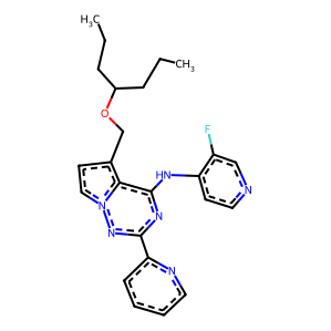 CCCC(CCC)OCc1ccn2nc(-c3ccccn3)nc(Nc3ccncc3F)c12